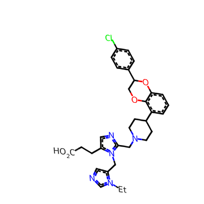 CCn1cncc1Cn1c(CCC(=O)O)cnc1CN1CCC(c2cccc3c2OCC(c2ccc(Cl)cc2)O3)CC1